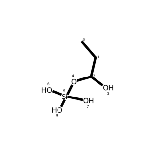 CCC(O)O[Si](O)(O)O